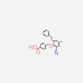 Cc1cc(C#N)c(OCc2ccc(C(=O)O)cc2)c(CCc2ccccc2)c1